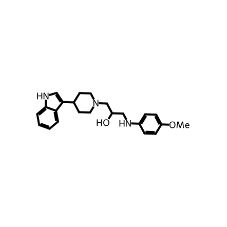 COc1ccc(NCC(O)CN2CCC(c3c[nH]c4ccccc34)CC2)cc1